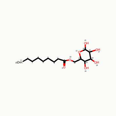 CCCCCCCCCCCCCCCCCC(=O)OCC1OC(O)C(O)C(O)C1O